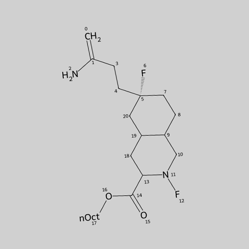 C=C(N)CC[C@@]1(F)CCC2CN(F)C(C(=O)OCCCCCCCC)CC2C1